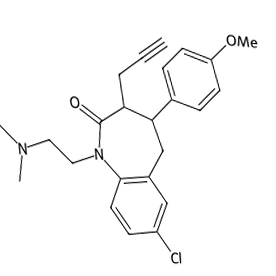 C#CCC1C(=O)N(CCN(C)C)c2ccc(Cl)cc2CC1c1ccc(OC)cc1